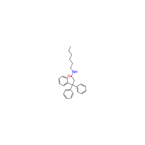 CCCCCCNC(=O)CC(c1ccccc1)(c1ccccc1)c1ccccc1